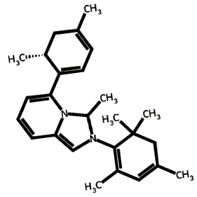 CC1=CC=C(C2=CC=CC3=CN(C4=C(C)C=C(C)CC4(C)C)C(C)N32)[C@H](C)C1